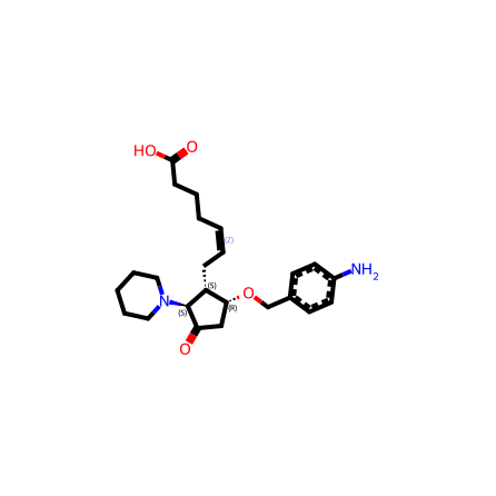 Nc1ccc(CO[C@@H]2CC(=O)[C@@H](N3CCCCC3)[C@@H]2C/C=C\CCCC(=O)O)cc1